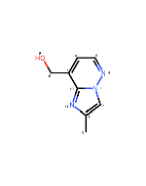 Cc1cn2nccc(CO)c2n1